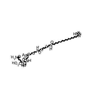 CC(=O)N(CC(=O)N[C@H](CO)C(=O)N[C@@H](CCC(N)=O)C(=O)O)OCCOCCNC(=O)COCCOCCNC(=O)CCCCCCCCCCCCCCCc1nnn[nH]1